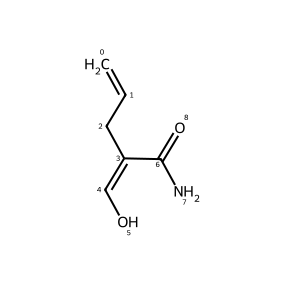 C=CCC(=CO)C(N)=O